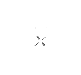 O=S(=O)(Cl)Cl.[Na+].[OH-]